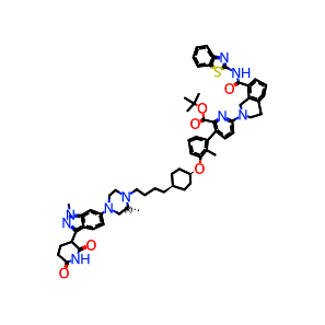 Cc1c(O[C@H]2CC[C@H](CCCCN3CCN(c4ccc5c(C6CCC(=O)NC6=O)nn(C)c5c4)C[C@H]3C)CC2)cccc1-c1ccc(N2CCc3cccc(C(=O)Nc4nc5ccccc5s4)c3C2)nc1C(=O)OC(C)(C)C